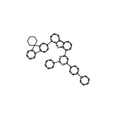 c1ccc(-c2ccc(-c3cc(-c4cccc5c4oc4c(-c6ccc7c(c6)C6(CCCCC6)c6ccccc6-7)cccc45)nc(-c4ccccc4)n3)cc2)cc1